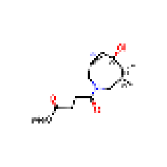 COC(=O)CCC(=O)N1C/C=C\[C@@H](O)[C@H](C)[C@@H](C)C1